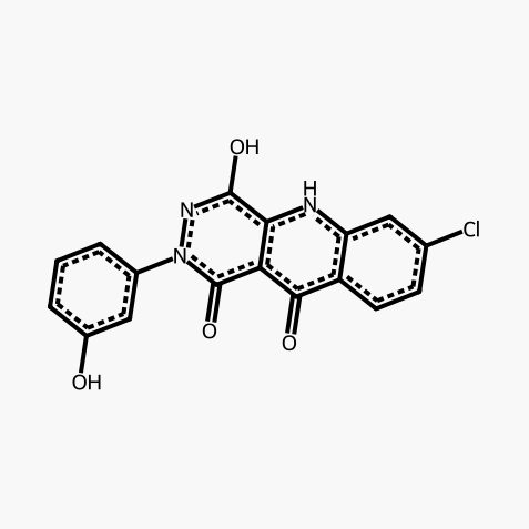 O=c1c2ccc(Cl)cc2[nH]c2c(O)nn(-c3cccc(O)c3)c(=O)c12